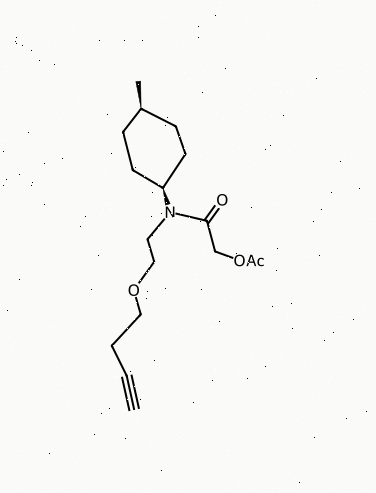 C#CCCOCCN(C(=O)COC(C)=O)[C@H]1CC[C@@H](C)CC1